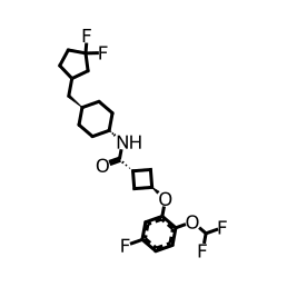 O=C(N[C@H]1CC[C@H](CC2CCC(F)(F)C2)CC1)[C@H]1C[C@H](Oc2cc(F)ccc2OC(F)F)C1